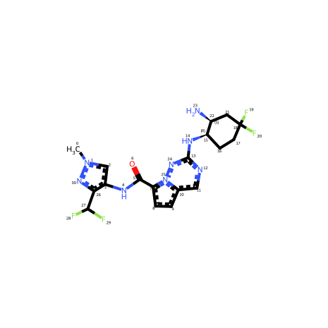 Cn1cc(NC(=O)c2ccc3cnc(N[C@@H]4CCC(F)(F)C[C@@H]4N)nn23)c(C(F)F)n1